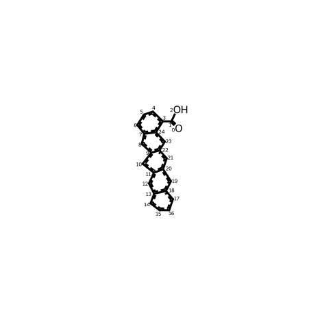 O=C(O)c1cccc2cc3cc4cc5ccccc5cc4cc3cc12